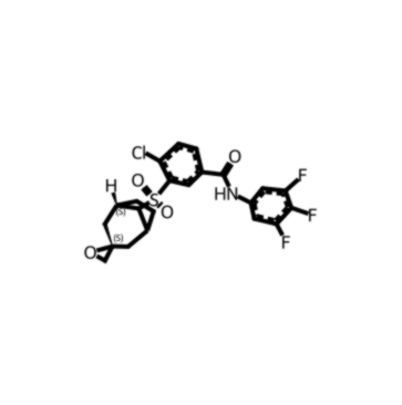 O=C(Nc1cc(F)c(F)c(F)c1)c1ccc(Cl)c(S(=O)(=O)C2C3CC[C@H]2C[C@]2(CO2)C3)c1